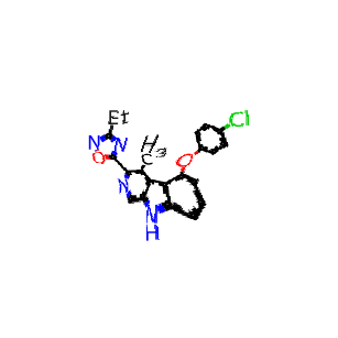 CCc1noc(-c2ncc3[nH]c4cccc(Oc5ccc(Cl)cc5)c4c3c2C)n1